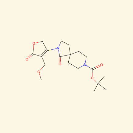 COCC1=C(N2CCC3(CCN(C(=O)OC(C)(C)C)CC3)C2=O)COC1=O